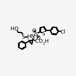 O=C(O)[C@@]1(NS(=O)(=O)c2ccc(-c3ccc(Cl)cc3)s2)C[C@@]1(CSCCO)c1ccccc1